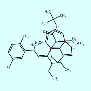 C=C1C=CN=C(C)C(C(=C\C(C)c2cc(Cl)ccc2C)/N(CC)CC)=C1/C1=C\[C@@H](C)CN(C(=O)OC(C)(C)C)CCC1